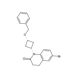 O=C1CCc2cc(Br)ccc2N1[C@H]1C[C@@H](OCc2ccccc2)C1